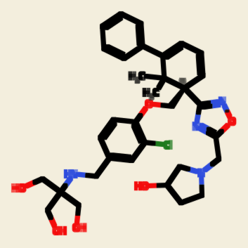 CC1(C)C(c2ccccc2)=CC=C[C@]1(COc1ccc(CNC(CO)(CO)CO)cc1Cl)c1noc(CN2CCC(O)C2)n1